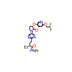 CCC(CCc1ncc(N2CC[C@@H](Oc3ccc(OCC(F)F)nc3)C2=O)cn1)C(=O)N(C)C(C)C